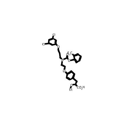 CCOC(Cc1ccc(OCCN(CCCOc2cc(Cl)cc(Cl)c2)C(=O)Oc2ccccc2C(F)(F)F)cc1)C(=O)O